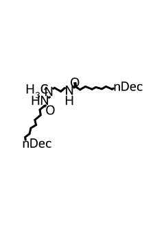 CCCCCCCCCCCCCCCCCC(=O)NCCCN(C)CNC(=O)CCCCCCCCCCCCCCCCC